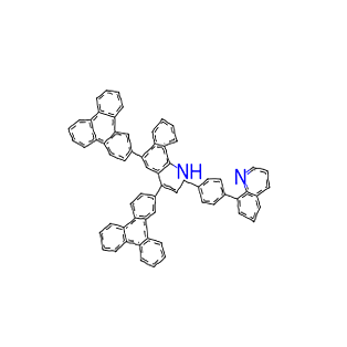 C1=C(c2ccc3c4ccccc4c4ccccc4c3c2)c2cc(-c3ccc4c5ccccc5c5ccccc5c4c3)c3ccccc3c2NC1c1ccc(-c2cccc3cccnc23)cc1